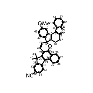 COc1ccc(C2(C3=Cc4c(oc5ccccc45)CC3)C=Cc3c4c(c5ccccc5c3O2)-c2ccc(C#N)cc2C4(C)C)cc1